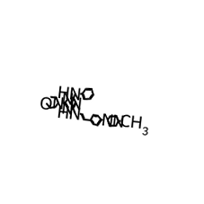 CN1CCN(c2ccc(/C=C/Nc3nc(Nc4ccccc4)nc(N4CCOCC4)n3)cc2)CC1